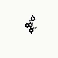 Cc1ccc(-c2nnc(O[C@@H]3CCCN(C)C3)c3ccccc23)c(O)c1